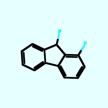 Fc1cccc2c1C(F)c1ccccc1-2